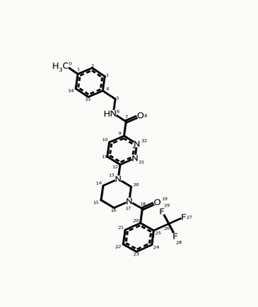 Cc1ccc(CNC(=O)c2ccc(N3CCCN(C(=O)c4ccccc4C(F)(F)F)C3)nn2)cc1